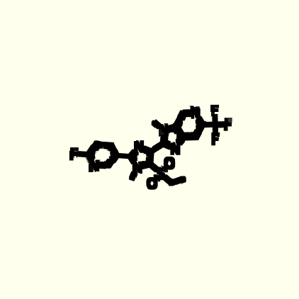 CCS(=O)(=O)c1c(-c2nc3cc(C(F)(F)F)ncc3n2C)nc(-c2ccc(F)nc2)n1C